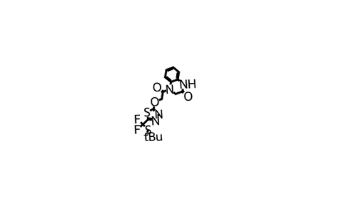 CC(C)(C)SC(F)(F)c1nnc(OCC(=O)N2CC(=O)Nc3ccccc32)s1